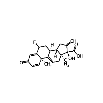 C=C1C[C@H]2[C@@H]3C[C@H](F)C4=CC(=O)C=C[C@]4(C)C3=CC[C@]2(C)[C@@]1(O)C(=O)O